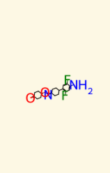 Nc1cc(F)c(C2CCC(=NOC3CCC(=O)CC3)CC2)cc1F